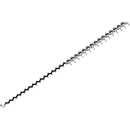 CCCCCCCCCCCCCCCCCCCCCCCCCCCCCCCC[SiH2]O[SiH2]O[SiH2]O[SiH2]O[SiH2]O[SiH2]O[SiH2]O[SiH2]O[SiH2]O[SiH2]O[SiH2]O[SiH2]O[SiH2]O[SiH2]O[SiH2]O[SiH3]